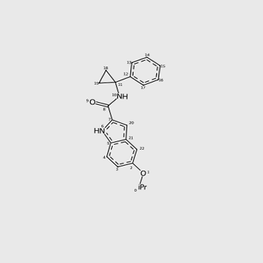 CC(C)Oc1ccc2[nH]c(C(=O)NC3(c4ccccc4)CC3)cc2c1